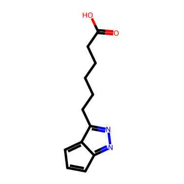 O=C(O)CCCCCC1=NN=C2C=CC=C21